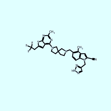 Cc1nc(N2CCC3(CCN(Cc4ccc5c(cc(C#N)n5Cc5cn[nH]n5)c4C)C3)C2)c2cc(CC(F)(F)F)sc2n1